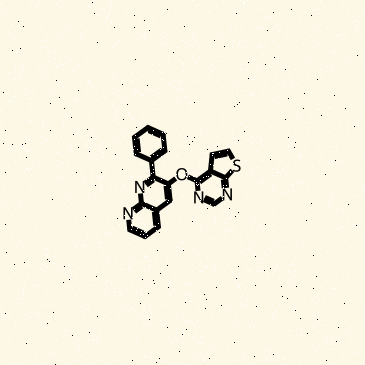 c1ccc(-c2nc3ncccc3cc2Oc2ncnc3sccc23)cc1